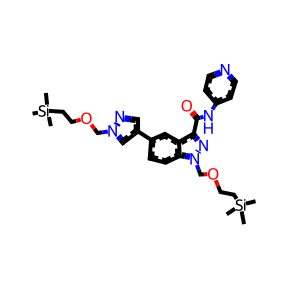 C[Si](C)(C)CCOCn1cc(-c2ccc3c(c2)c(C(=O)Nc2ccncc2)nn3COCC[Si](C)(C)C)cn1